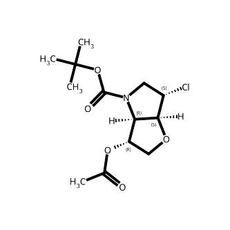 CC(=O)O[C@H]1CO[C@H]2[C@@H]1N(C(=O)OC(C)(C)C)C[C@@H]2Cl